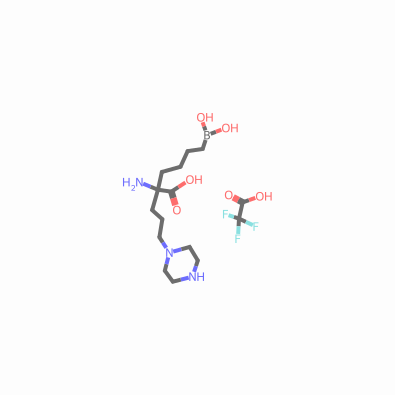 NC(CCCCB(O)O)(CCCN1CCNCC1)C(=O)O.O=C(O)C(F)(F)F